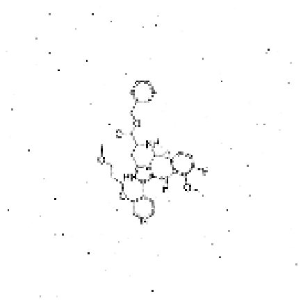 COc1c(F)cccc1Nc1c(-c2ccncc2OCCCOI)[nH]c2c1C(=O)NC(C(=O)OCc1ccccc1)C2